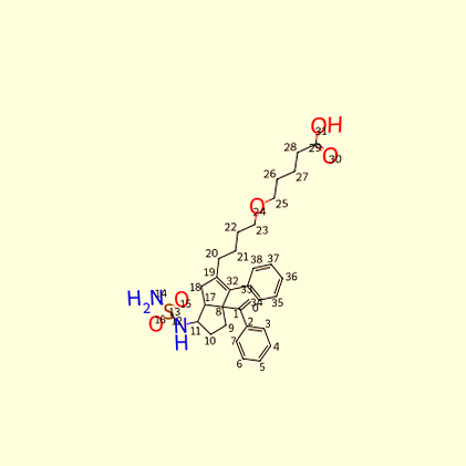 C=C(c1ccccc1)C12CCC(NS(N)(=O)=O)C1CC(CCCCOCCCCC(=O)O)=C2c1ccccc1